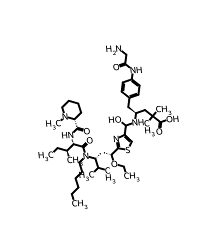 CCCCCCN(C(=O)[C@@H](NC(=O)[C@H]1CCCCN1C)[C@@H](C)CC)[C@H](C[C@@H](OCC)c1nc(C(O)N[C@@H](Cc2ccc(NC(=O)CN)cc2)CC(C)(C)C(=O)O)cs1)C(C)C